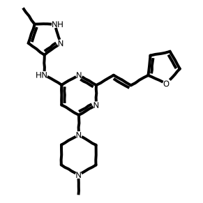 Cc1cc(Nc2cc(N3CCN(C)CC3)nc(C=Cc3ccco3)n2)n[nH]1